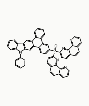 O=P(c1ccc2c(c1)c1ccccc1c1cc3c4ccccc4n(-c4ccccc4)c3cc21)(c1ccc2ccc3cccnc3c2n1)c1ccc2ccc3cccnc3c2n1